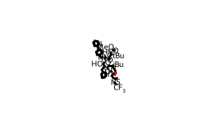 CCC(C)C(C(=O)NC(Cc1ccccc1)C(O)CN(Cc1ccc(-c2ccccn2)cc1)NC(=O)C(NC(=O)OC)C(C)(C)C)N1CCN(Cc2csc(C(F)(F)F)n2)C1=O